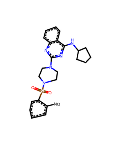 O=Nc1ccccc1S(=O)(=O)N1CCN(c2nc(NC3CCCC3)c3ccccc3n2)CC1